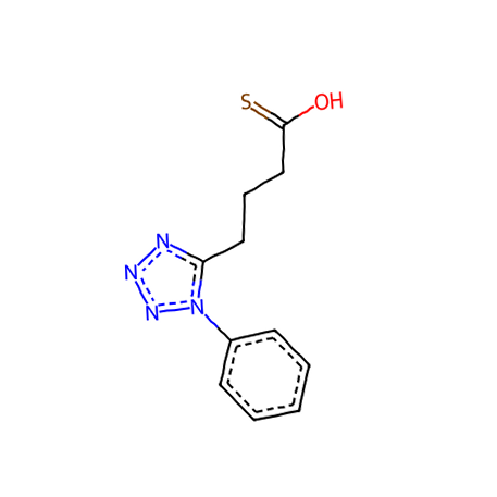 OC(=S)CCCc1nnnn1-c1ccccc1